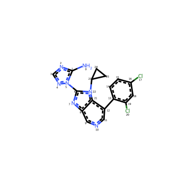 Nc1ncnn1-c1nc2cncc(-c3ccc(Cl)cc3Cl)c2n1C1CC1